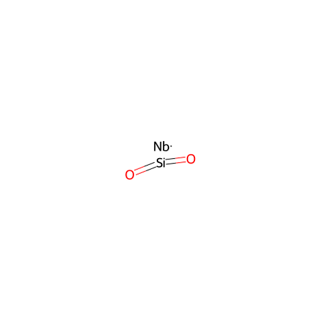 O=[Si]=O.[Nb]